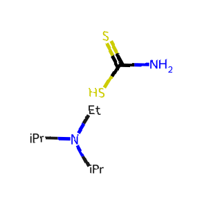 CCN(C(C)C)C(C)C.NC(=S)S